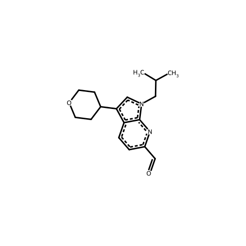 CC(C)Cn1cc(C2CCOCC2)c2ccc(C=O)nc21